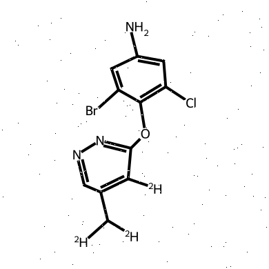 [2H]c1c(C([2H])[2H])cnnc1Oc1c(Cl)cc(N)cc1Br